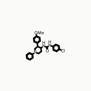 COc1ccc(C2CN(c3ccccc3)CCC2NC(=O)Nc2ccc(Cl)cc2)cc1